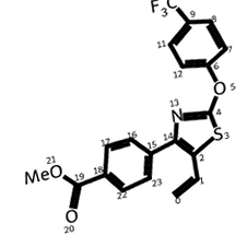 C=Cc1sc(Oc2ccc(C(F)(F)F)cc2)nc1-c1ccc(C(=O)OC)cc1